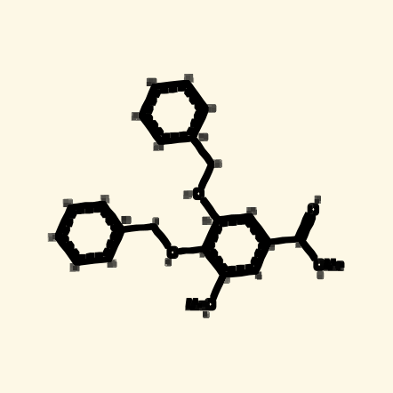 COC(=O)c1cc(OC)c(OCc2ccccc2)c(OCc2ccccc2)c1